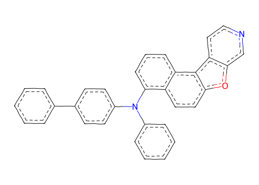 c1ccc(-c2ccc(N(c3ccccc3)c3cccc4c3ccc3oc5cnccc5c34)cc2)cc1